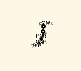 COc1ccc(-c2ccc(C(=O)N[C@H]3C[C@@H](NC(=O)OC(C)(C)C)C3)c(F)c2)cc1F